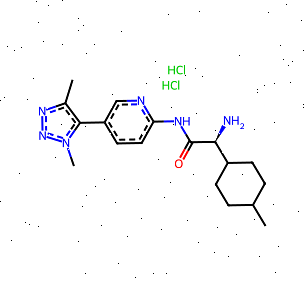 Cc1nnn(C)c1-c1ccc(NC(=O)[C@@H](N)C2CCC(C)CC2)nc1.Cl.Cl